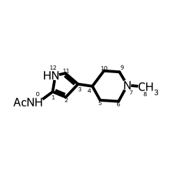 CC(=O)Nc1cc(C2CCN(C)CC2)c[nH]1